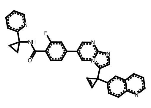 O=C(NC1(c2ccccn2)CC1)c1ccc(-c2cnc3ncc(C4(c5ccc6ncccc6c5)C=C4)n3c2)cc1F